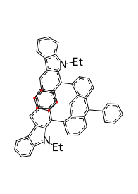 CCn1c2ccccc2c2cc3ccccc3c(-c3cccc4c(-c5ccccc5)c5cccc(-c6c7ccccc7cc7c8ccccc8n(CC)c67)c5cc34)c21